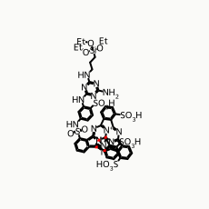 CCO[Si](CCCNc1nc(N)nc(Nc2cc(NS(=O)(=O)c3cccc4c5n6c(c34)=NC3=[N+]4C(=Nc7c8cccc(S(=O)(=O)O)c8c8n7C64[N+]4=C(N=5)c5c(cccc5S(=O)(=O)O)C4=N8)c4c3cccc4S(=O)(=O)O)ccc2S(=O)(=O)O)n1)(OCC)OCC